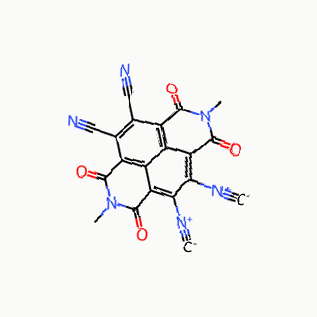 [C-]#[N+]c1c([N+]#[C-])c2c3c(c(C#N)c(C#N)c4c3c1C(=O)N(C)C4=O)C(=O)N(C)C2=O